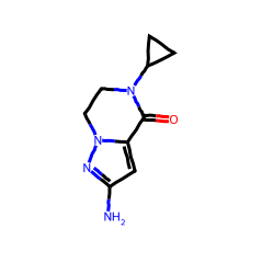 Nc1cc2n(n1)CCN(C1CC1)C2=O